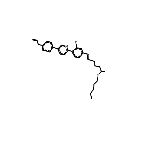 C=CCc1ccc(-c2ccc(-c3ccc(/C=C/CCCC(C)OCCCCC)cc3F)nc2)cc1